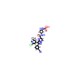 Cc1cc(-c2c(-c3cccc(C#N)c3)nn3ccc(C(=O)N[C@H]4CC[C@H](NC(=O)O)C4)nc23)cc(Cl)n1